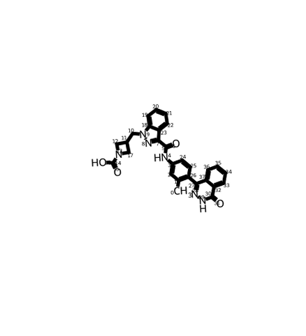 Cc1cc(NC(=O)c2nn(CC3CN(C(=O)O)C3)c3ccccc23)ccc1-c1n[nH]c(=O)c2ccccc12